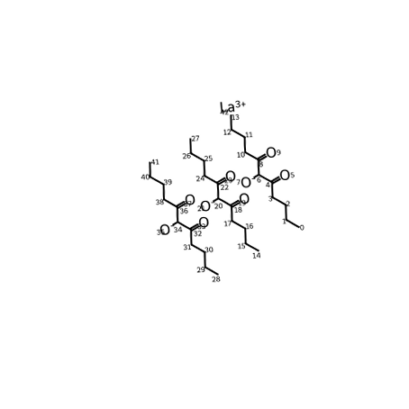 CCCCC(=O)C([O-])C(=O)CCCC.CCCCC(=O)C([O-])C(=O)CCCC.CCCCC(=O)C([O-])C(=O)CCCC.[La+3]